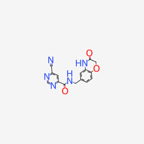 N#Cc1cc(C(=O)NCc2ccc3c(c2)NC(=O)CO3)ncn1